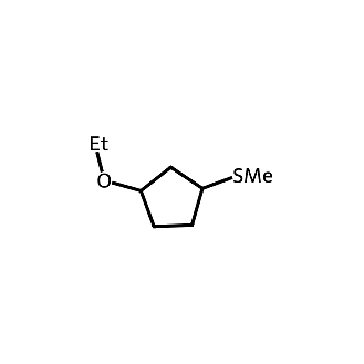 CCOC1CCC(SC)C1